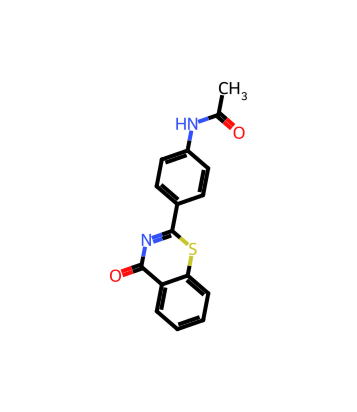 CC(=O)Nc1ccc(-c2nc(=O)c3ccccc3s2)cc1